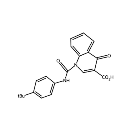 CC(C)(C)c1ccc(NC(=O)n2cc(C(=O)O)c(=O)c3ccccc32)cc1